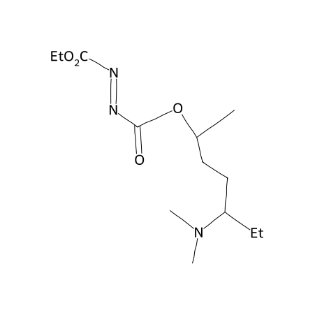 CCOC(=O)N=NC(=O)OC(C)CCC(CC)N(C)C